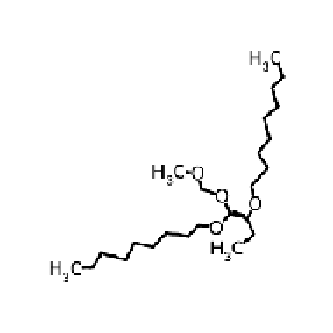 CCCCCCCCCOC(CC)=C(OCCCCCCCCC)OCOC